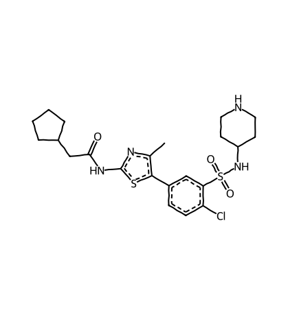 Cc1nc(NC(=O)CC2CCCC2)sc1-c1ccc(Cl)c(S(=O)(=O)NC2CCNCC2)c1